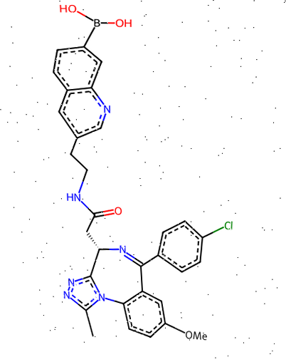 COc1ccc2c(c1)C(c1ccc(Cl)cc1)=N[C@@H](CC(=O)NCCc1cnc3cc(B(O)O)ccc3c1)c1nnc(C)n1-2